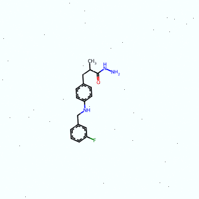 CC(Cc1ccc(NCc2cccc(F)c2)cc1)C(=O)NN